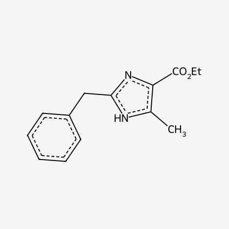 CCOC(=O)c1nc(Cc2ccccc2)[nH]c1C